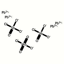 [O]=[Mo](=[O])([O-])[O-].[O]=[Sb]([O-])([O-])[O-].[O]=[Sb]([O-])([O-])[O-].[Pb+2].[Pb+2].[Pb+2].[Pb+2]